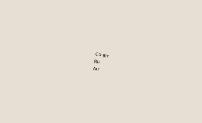 [Au].[Co].[Rh].[Ru]